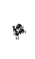 Cc1ccnc(Nc2nc(-c3c[nH]nc3-c3ccccc3)cs2)n1.Cc1ccnc(Nc2nc(-c3c[nH]nc3N3CCCC3)cs2)n1